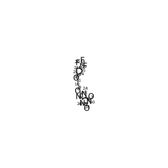 Cn1c(=O)c2c(nc(OCCCOc3ccc(C(F)(F)F)cc3)n2C)n(C)c1=O